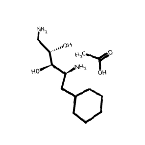 CC(=O)O.NC[C@H](O)[C@H](O)[C@@H](N)CC1CCCCC1